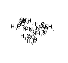 COc1cc(OC)cc(N(Cc2ccnc(-c3cc(OC)c(OC)c(OC)c3)c2)C2CCN(Cc3ccnc(-c4cc(OC)c(OC)c(OC)c4)c3)CC2)c1